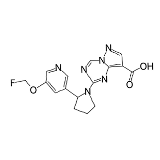 O=C(O)c1cnn2cnc(N3CCCC3c3cncc(OCF)c3)nc12